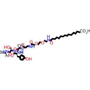 CCCC[C@H](NC(=O)[C@H](CO)NC(=O)[C@H](Cc1ccc(O)cc1)NC(=O)[C@H](C)NC(=O)CCNC(=O)COCCOCCNC(=O)CCCCCCCCCCCCCCC(=O)O)C(C)=O